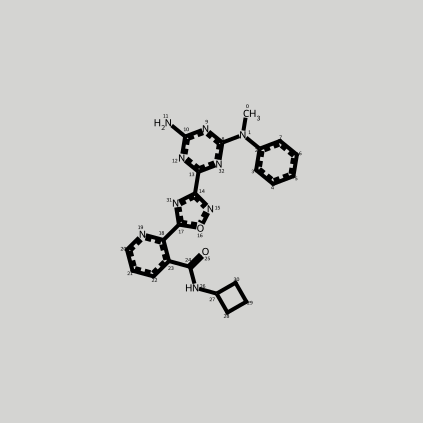 CN(c1ccccc1)c1nc(N)nc(-c2noc(-c3ncccc3C(=O)NC3CCC3)n2)n1